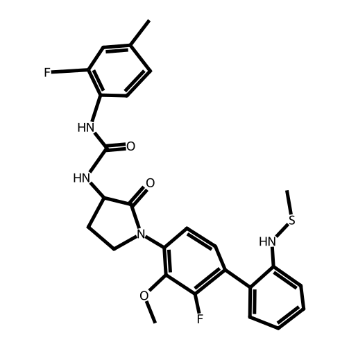 COc1c(N2CCC(NC(=O)Nc3ccc(C)cc3F)C2=O)ccc(-c2ccccc2NSC)c1F